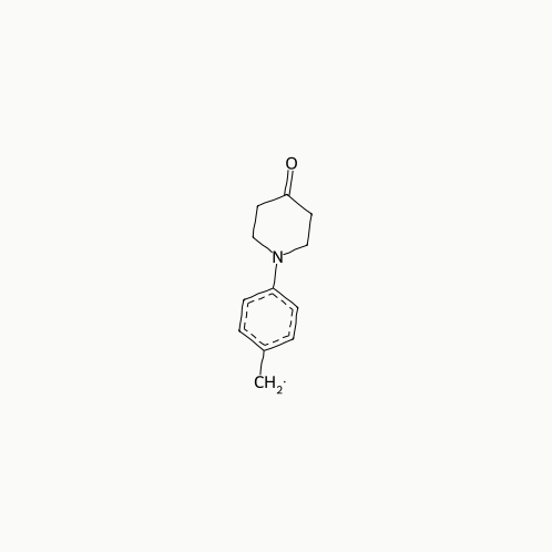 [CH2]c1ccc(N2CCC(=O)CC2)cc1